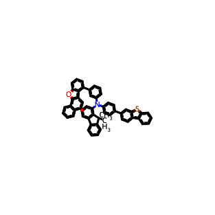 CC1(C)c2ccccc2-c2cccc(N(c3ccc(-c4ccc5c(c4)sc4ccccc45)cc3)c3cccc(-c4cccc5oc6c7ccccc7ccc6c45)c3)c21